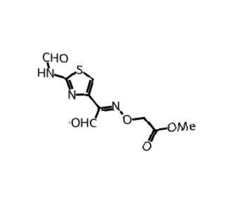 COC(=O)CON=C([C]=O)c1csc(NC=O)n1